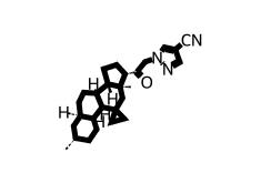 C[C@H]1CC[C@H]2[C@H](CC[C@@H]3[C@@H]2C2(CC2)C[C@]2(C)[C@@H](C(=O)Cn4cc(C#N)cn4)CC[C@@H]32)C1